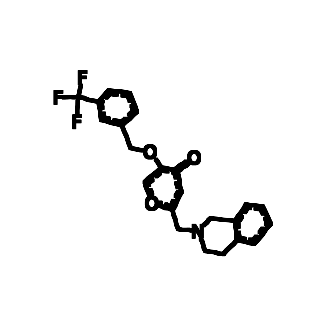 O=c1cc(CN2CCc3ccccc3C2)occ1OCc1cccc(C(F)(F)F)c1